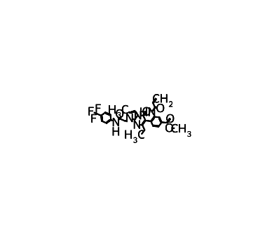 C=CC(=O)Nc1cc(C(=O)OC)ccc1-c1c(CC)nc2n(CC(=O)Nc3ccc(C(F)(F)F)cc3)c(C)cn2c1=O